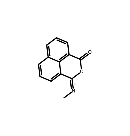 C/N=C1/OC(=O)c2cccc3cccc1c23